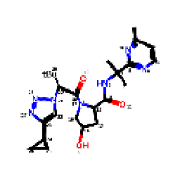 Cc1ccnc(C(C)(C)NC(=O)C2CC(O)CN2C(=O)[C@@H](n2cc(C3CC3)nn2)C(C)(C)C)n1